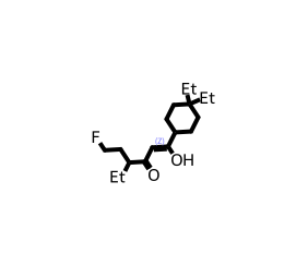 CCC(CCF)C(=O)/C=C(\O)C1CCC(CC)(CC)CC1